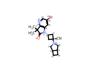 CC1(C)C(=O)N([C@H]2C[C@@](C#N)(N3CC4CCC4C3)C2)c2cc(Br)cnc21